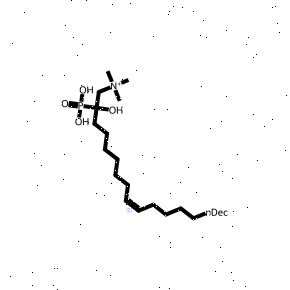 CCCCCCCCCCCCCC/C=C\CCCCCCC(O)(C[N+](C)(C)C)P(=O)(O)O